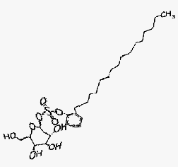 CCCCCCCCCCCCCCCCc1ccccc1OS(=O)(=O)O[C@@H]1O[C@H](CO)[C@H](O)[C@H](O)[C@H]1O